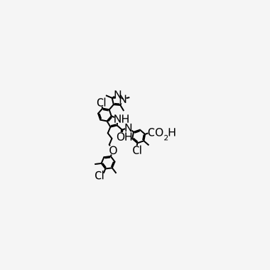 Cc1cc(OCCCc2c(C(=O)Nc3cc(Cl)c(C)c(C(=O)O)c3)[nH]c3c(-c4c(C)nn(C)c4C)c(Cl)ccc23)cc(C)c1Cl